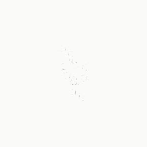 C1=CC2C(c3ccccc3N2c2cccc(-c3ccccc3)c2)c2c1oc1ccc(-c3nc(-c4cccc(-c5ccccc5)c4)nc(-c4cccc(-c5ccccc5)c4)n3)cc21